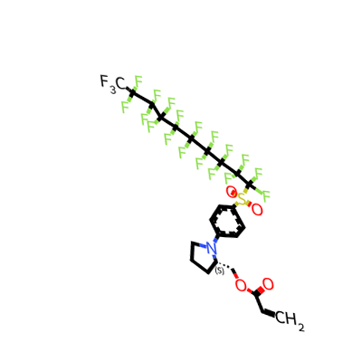 C=CC(=O)OC[C@@H]1CCCN1c1ccc(S(=O)(=O)C(F)(F)C(F)(F)C(F)(F)C(F)(F)C(F)(F)C(F)(F)C(F)(F)C(F)(F)C(F)(F)C(F)(F)F)cc1